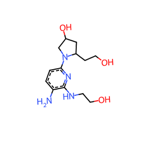 Nc1ccc(N2CC(O)CC2CCO)nc1NCCO